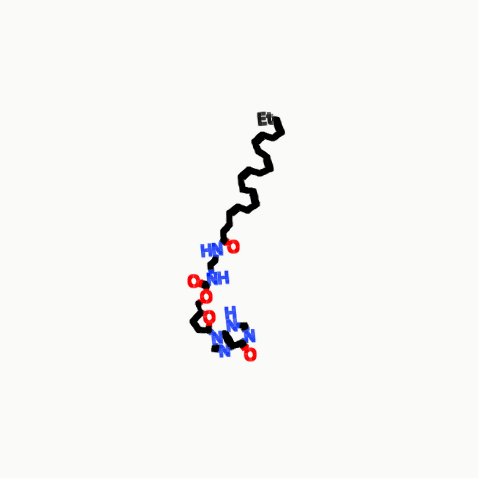 CC/C=C\C/C=C\C/C=C\C/C=C\C/C=C\C/C=C\CCC(=O)NCCNC(=O)OC[C@@H]1CCC(n2cnc3c(=O)nc[nH]c32)O1